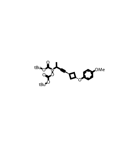 COc1ccc(O[C@H]2C[C@H](C#CC(C)N(OC(=O)OC(C)(C)C)C(=O)OC(C)(C)C)C2)cc1